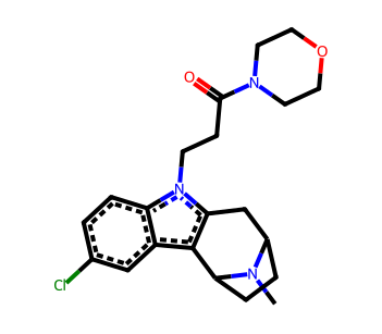 CN1C2CCC1c1c(n(CCC(=O)N3CCOCC3)c3ccc(Cl)cc13)C2